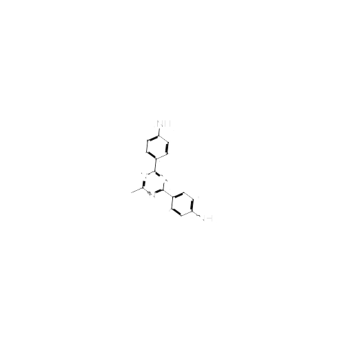 Cc1nc(-c2ccc(N)cc2)nc(-c2ccc(N)cc2)n1